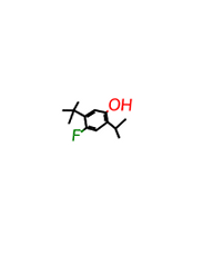 CC(C)c1cc(F)c(C(C)(C)C)cc1O